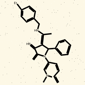 C=C/C=C\C(=C/N(C)C)N1C(=C)C(=N)/C(=C(/C)NCc2ccc(CC)cc2)C1c1ccccc1